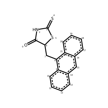 O=C1NC(=S)SC1Cc1c2ccccc2cc2ccccc12